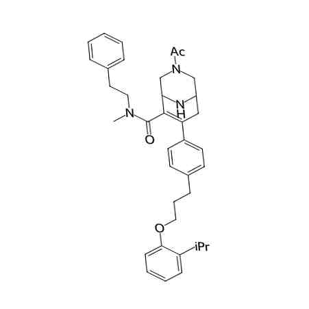 CC(=O)N1CC2CC(c3ccc(CCCOc4ccccc4C(C)C)cc3)=C(C(=O)N(C)CCc3ccccc3)C(C1)N2